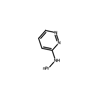 CCCNc1cc[c]nn1